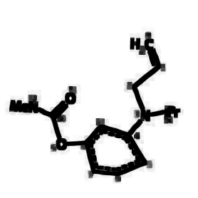 C=CCN(c1cccc(OC(=O)NC)c1)C(C)C